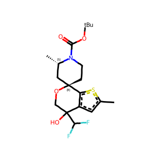 Cc1cc2c(s1)[C@]1(CCN(C(=O)OC(C)(C)C)[C@@H](C)C1)OCC2(O)C(F)F